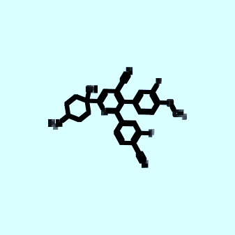 COc1ccc(-c2c(C#N)cc(C3(O)CCC(N)CC3)nc2-c2ccc(C#N)c(F)c2)cc1F